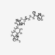 Cc1ccc2cc(-c3cnc(CCSCCCC(=O)c4ncco4)[nH]3)ccc2n1